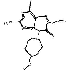 Bc1cc2c(C)nc(N)nc2n([C@H]2CC[C@H](OC)CC2)c1=O